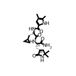 Cc1cc(C(=O)N[C@@H](CC2CC2)C(=O)N[C@@H](C[C@@H]2CC(C)(C)NC2=O)C(N)=O)[nH]c1C